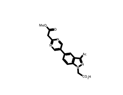 COC(=O)Cc1ncc(-c2ccc3c(c2)c(C(C)=O)nn3CC(=O)O)cn1